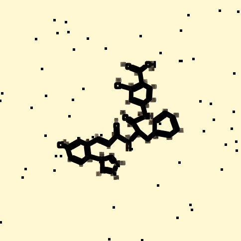 O=C(C=Cc1cc(Cl)ccc1-n1cnnn1)NC(Cc1ccccc1)C(=O)Nc1ccc(C(=O)O)c(Cl)c1